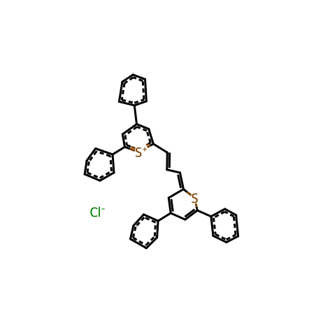 C(=Cc1cc(-c2ccccc2)cc(-c2ccccc2)[s+]1)C=C1C=C(c2ccccc2)C=C(c2ccccc2)S1.[Cl-]